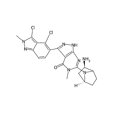 Cn1nc2ccc(-c3n[nH]c4nc(N5C6CC[C@H]5C[C@H]6N)n(C)c(=O)c34)c(Cl)c2c1Cl